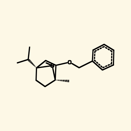 CC(C)[C@@]12C=C(OCc3ccccc3)[C@@](C)(CC1)O2